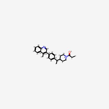 CCC(=O)N1CCC(C(C)c2ccc(-c3cnc4ccccc4c3C)cc2)CC1